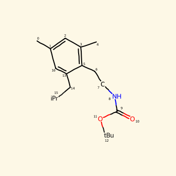 Cc1cc(C)c(CCNC(=O)OC(C)(C)C)c(CC(C)C)c1